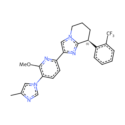 COc1nc(-c2cn3c(n2)[C@H](c2ccccc2C(F)(F)F)CCC3)ccc1-n1cnc(C)c1